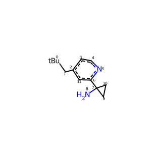 CC(C)(C)Cc1ccnc(C2(N)CC2)c1